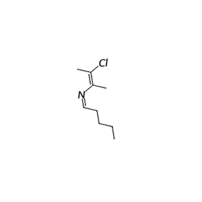 CCCC/C=N\C(C)=C(/C)Cl